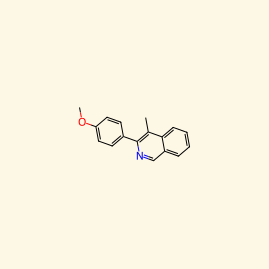 COc1ccc(-c2ncc3ccccc3c2C)cc1